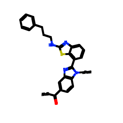 CCCCCn1c(-c2cccc3nc(NCCCc4ccccc4)sc23)nc2cc(C(=O)OC)ccc21